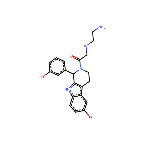 NCCNCC(=O)N1CCc2c([nH]c3ccc(Br)cc23)C1c1cccc(O)c1